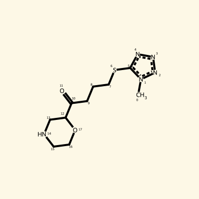 Cn1nnnc1SCCCC(=O)C1CNCCO1